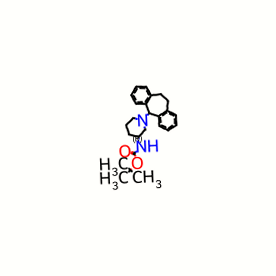 CC(C)(C)OC(=O)N[C@@H]1CCCN(C2c3ccccc3CCc3ccccc32)C1